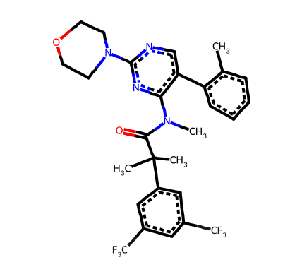 Cc1ccccc1-c1cnc(N2CCOCC2)nc1N(C)C(=O)C(C)(C)c1cc(C(F)(F)F)cc(C(F)(F)F)c1